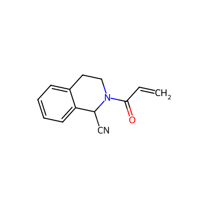 C=CC(=O)N1CCc2ccccc2C1C#N